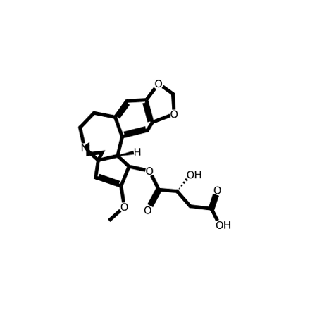 COC1=CC23CCCN2CCc2cc4c(cc2[C@@H]3C1OC(=O)[C@H](O)CC(=O)O)OCO4